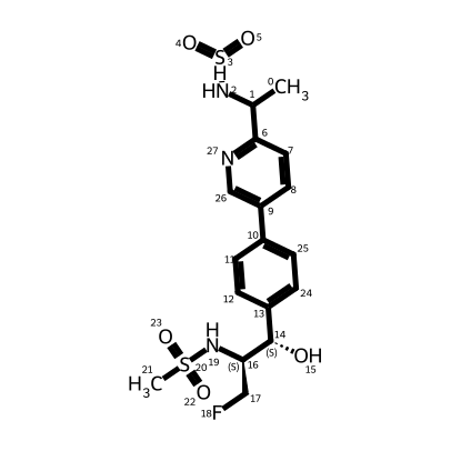 CC(N[SH](=O)=O)c1ccc(-c2ccc([C@H](O)[C@@H](CF)NS(C)(=O)=O)cc2)cn1